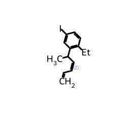 C=C/C=C\C(C)c1cc(I)ccc1CC